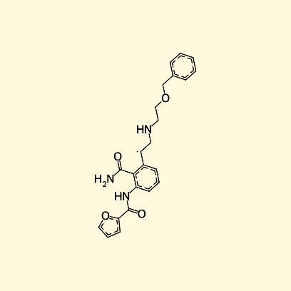 NC(=O)c1c([CH]CNCCOCc2ccccc2)cccc1NC(=O)c1ccco1